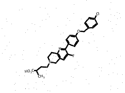 CC(CCN1CCc2nc(-c3ccc(OCc4ccc(Cl)cc4)cc3)c(F)cc2C1)C(=O)O